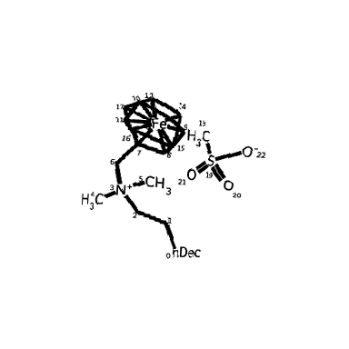 CCCCCCCCCCCC[N+](C)(C)C[C]12[CH]3[CH]4[CH]5[CH]1[Fe]45321678[CH]2[CH]1[CH]6[CH]7[CH]28.CS(=O)(=O)[O-]